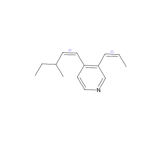 C/C=C\c1cnccc1/C=C\C(C)CC